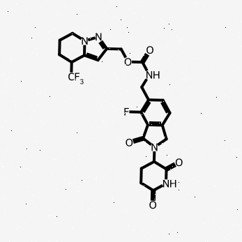 O=C1CCC(N2Cc3ccc(CNC(=O)OCc4cc5n(n4)CCCC5C(F)(F)F)c(F)c3C2=O)C(=O)N1